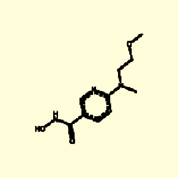 COCCN(C)c1ccc(C(=O)NO)cn1